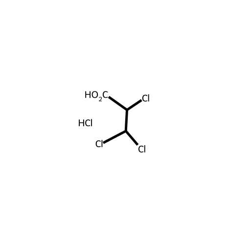 Cl.O=C(O)C(Cl)C(Cl)Cl